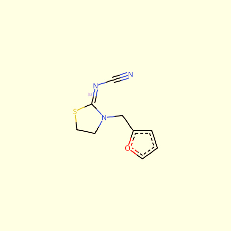 N#C/N=C1/SCCN1Cc1ccco1